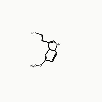 COC1=CC2C(CCN)=CNC2C=C1